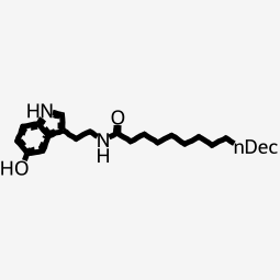 CCCCCCCCCCCCCCCCCCC(=O)NCCc1c[nH]c2ccc(O)cc12